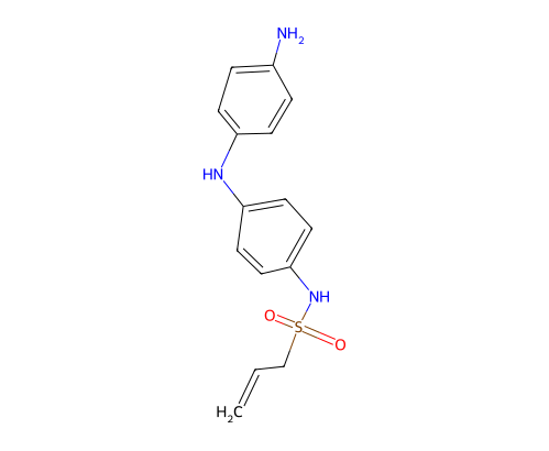 C=CCS(=O)(=O)Nc1ccc(Nc2ccc(N)cc2)cc1